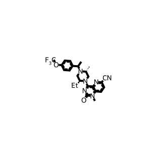 CC[C@H]1CN(C(C)c2ccc(OC(F)(F)F)cc2)[C@H](C)CN1c1nc(=O)n(C)c2ccc(C#N)nc12